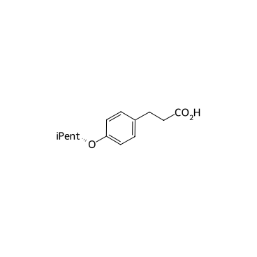 CCC[C@@H](C)Oc1ccc(CCC(=O)O)cc1